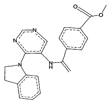 C=C(Nc1cncnc1N1CCc2ccccc21)c1ccc(C(=O)OC)cc1